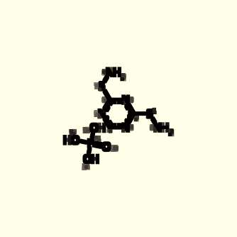 NSc1ncnc(SN)n1.O=P(O)(O)O